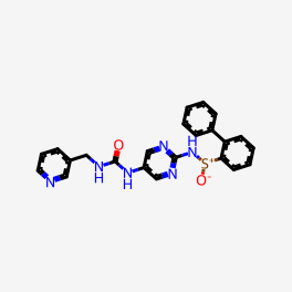 O=C(NCc1cccnc1)Nc1cnc(N[S+]([O-])c2ccccc2-c2ccccc2)nc1